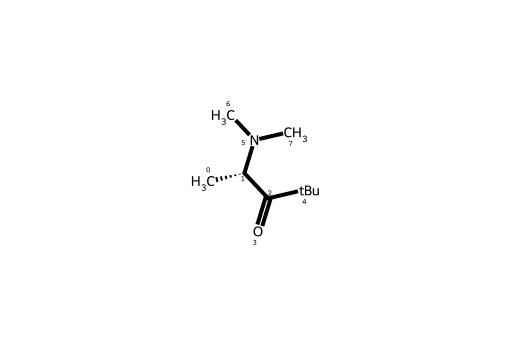 C[C@@H](C(=O)C(C)(C)C)N(C)C